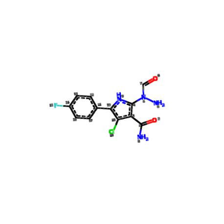 NC(=O)c1c(N(N)C=O)[nH]c(-c2ccc(F)cc2)c1Cl